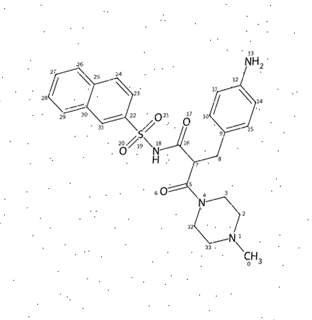 CN1CCN(C(=O)C(Cc2ccc(N)cc2)C(=O)NS(=O)(=O)c2ccc3ccccc3c2)CC1